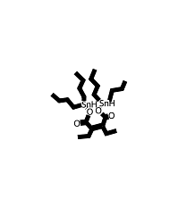 CCC[CH2][SnH]([CH2]CCC)[O]C(=O)/C(CC)=C(/CC)C(=O)[O][SnH]([CH2]CCC)[CH2]CCC